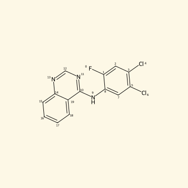 Fc1cc(Cl)c(Cl)cc1Nc1ncnc2ccccc12